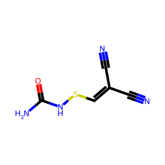 N#CC(C#N)=CSNC(N)=O